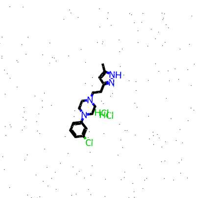 Cc1cc(CCN2CCN(c3cccc(Cl)c3)CC2)n[nH]1.Cl.Cl